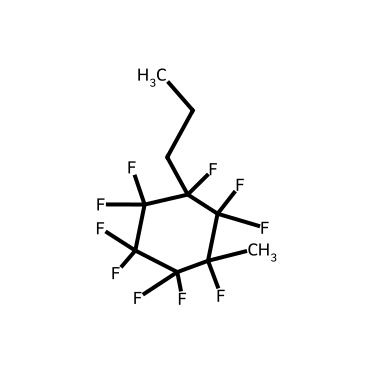 CCCC1(F)C(F)(F)C(C)(F)C(F)(F)C(F)(F)C1(F)F